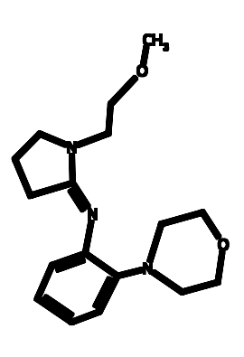 COCCN1CCCC1=Nc1ccccc1N1CCOCC1